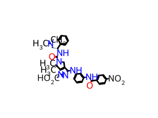 CN(C)C[C@@H](NC(=O)N1Cc2c(Nc3cccc(NC(=O)c4ccc([N+](=O)[O-])cc4)c3)nn(C(=O)O)c2C1(C)C)c1ccccc1